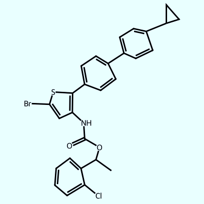 CC(OC(=O)Nc1cc(Br)sc1-c1ccc(-c2ccc(C3CC3)cc2)cc1)c1ccccc1Cl